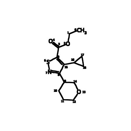 CCOC(=O)c1snc(C2CCCOC2)c1C1CC1